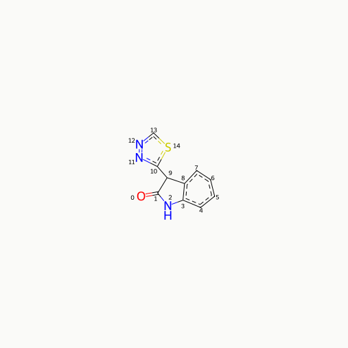 O=C1Nc2ccccc2C1c1nncs1